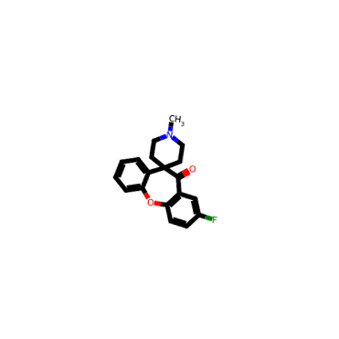 CN1CCC2(CC1)C(=O)c1cc(F)ccc1Oc1ccccc12